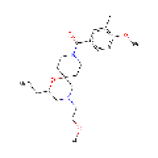 CCOCCN1CC(COC)OC2(CCN(C(=O)c3ccc(OC(C)C)c(C)c3)CC2)C1